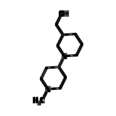 CN1CCC(N2CCCC(CO)C2)CC1